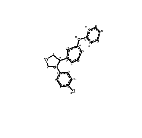 Clc1ccc(N2COCC2c2cccc(Oc3ncccn3)c2)cc1